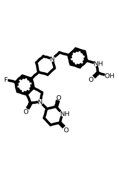 O=C(O)Nc1ccc(CN2CCC(c3cc(F)cc4c3CN(C3CCC(=O)NC3=O)C4=O)CC2)cc1